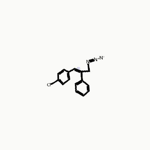 [N-]=[N+]=NC/C(=C/c1ccc(Cl)cc1)c1ccccc1